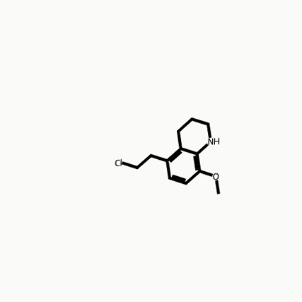 COc1ccc(CCCl)c2c1NCCC2